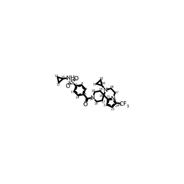 O=C(c1ccc(S(=O)(=O)NC2CC2)cc1)N1CCC2(CC1)c1ccc(C(F)(F)F)n1CCN2C1CC1